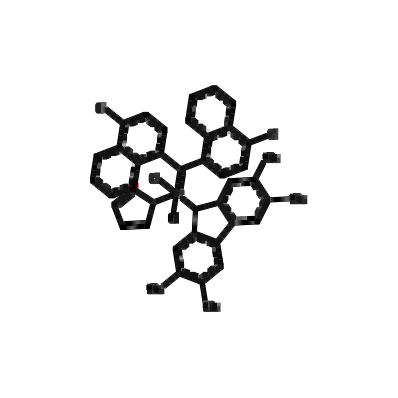 CC(C)(C)c1cc2c(cc1C(C)(C)C)[CH]([Zr]([Cl])([Cl])(=[C](c1ccc(Cl)c3ccccc13)c1ccc(Cl)c3ccccc13)[CH]1C=CC=C1)c1cc(C(C)(C)C)c(C(C)(C)C)cc1-2